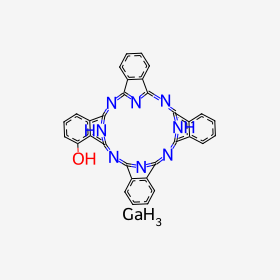 Oc1cccc2c3nc4nc(nc5[nH]c(nc6nc(nc([nH]3)c12)-c1ccccc1-6)c1ccccc51)-c1ccccc1-4.[GaH3]